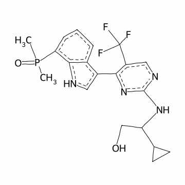 CP(C)(=O)c1cccc2c(-c3nc(NC(CO)C4CC4)ncc3C(F)(F)F)c[nH]c12